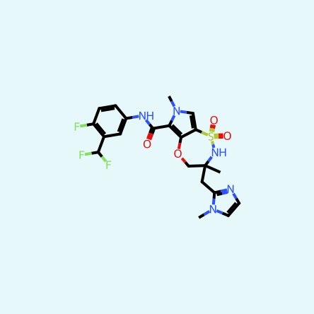 Cn1ccnc1CC1(C)COc2c(cn(C)c2C(=O)Nc2ccc(F)c(C(F)F)c2)S(=O)(=O)N1